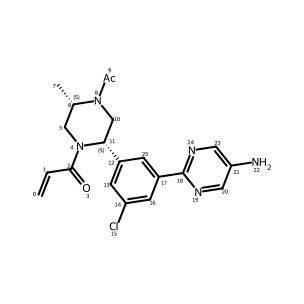 C=CC(=O)N1C[C@H](C)N(C(C)=O)C[C@@H]1c1cc(Cl)cc(-c2ncc(N)cn2)c1